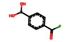 O=C(F)c1ccc(B(O)O)cc1